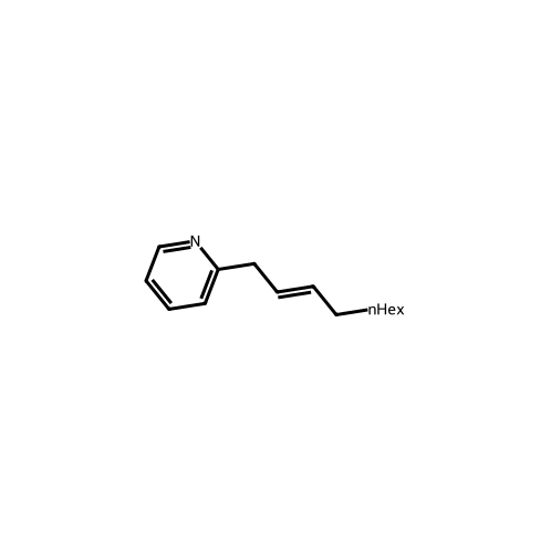 CCCCCCCC=CCc1ccccn1